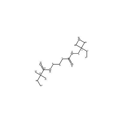 CCC1(COC(=O)CCCOC(=O)C(C)(C)CC)COC1